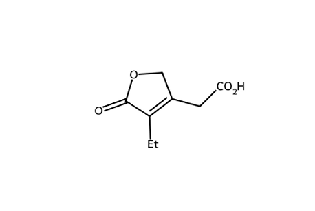 CCC1=C(CC(=O)O)COC1=O